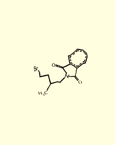 CC(CCBr)CN1C(=O)c2ccccc2C1=O